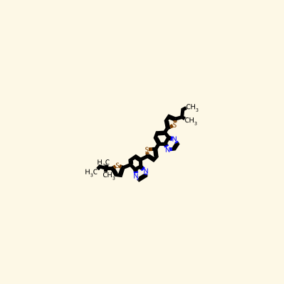 CCC(C)c1ccc(-c2ccc(-c3ccc(-c4ccc(-c5ccc(C(C)(C)CC)s5)c5nccnc45)s3)c3nccnc23)s1